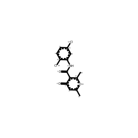 Cc1cc(=O)c(C(=O)Nc2cc(Cl)ccc2Cl)c(C)o1